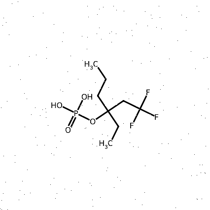 CCCC(CC)(CC(F)(F)F)OP(=O)(O)O